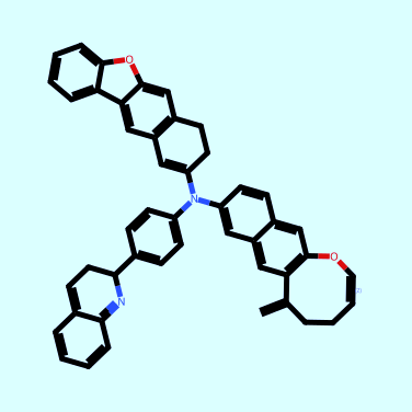 C=C1CC/C=C\Oc2cc3ccc(N(C4=Cc5cc6c(cc5CC4)oc4ccccc46)c4ccc(C5CC=c6ccccc6=N5)cc4)cc3cc21